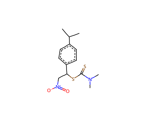 CC(C)c1ccc(C(C[N+](=O)[O-])SC(=S)N(C)C)cc1